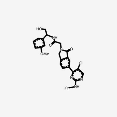 COc1cccc(C(CO)NC(=O)CN2Cc3ccc(-c4nc(NC(C)C)ncc4Cl)cc3C2=O)c1